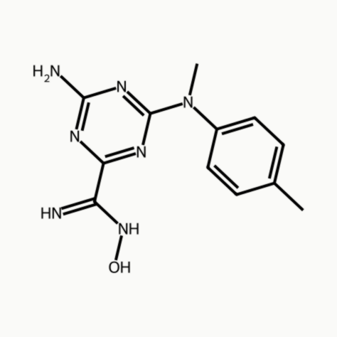 Cc1ccc(N(C)c2nc(N)nc(C(=N)NO)n2)cc1